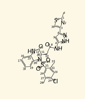 Cc1nc(-c2cc(NC(=O)C[C@@H]3C(=O)Nc4ccccc4N3S(=O)(=O)c3cc(C)c(Cl)cc3C)[nH]n2)cs1